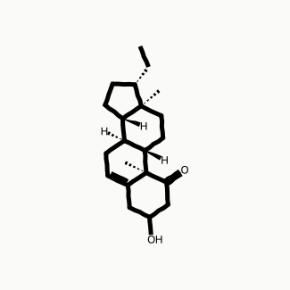 CC[C@H]1CC[C@H]2[C@@H]3CC=C4CC(O)CC(=O)[C@]4(C)[C@H]3CC[C@]12C